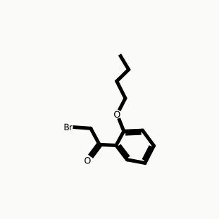 CCCCOc1ccccc1C(=O)CBr